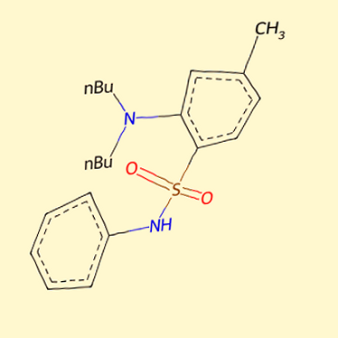 CCCCN(CCCC)c1cc(C)ccc1S(=O)(=O)Nc1ccccc1